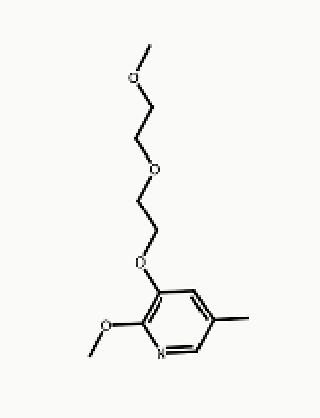 COCCOCCOc1cc(C)cnc1OC